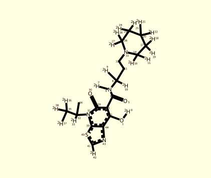 [2H]Oc1c(C(=O)N([2H])C([2H])([2H])CCN2C([2H])([2H])C([2H])([2H])C([2H])([2H])C([2H])([2H])C2([2H])[2H])c(=O)n(C([2H])(C)C([2H])([2H])[2H])c2sc([2H])nc12